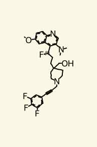 COc1ccc2ncc(N(C)C)c([C@H](F)CCC3(CO)CCN(CC#Cc4cc(F)c(F)c(F)c4)CC3)c2c1